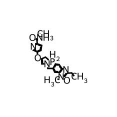 CCc1nc2cc(P)c(CN3C=C(Oc4ccc(C(=O)NC)nc4)CC3)cc2n(C)c1=O